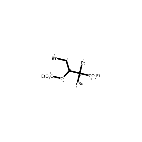 CCCCC(CC)(C(=O)OCC)C(CC(C)C)OC(=O)OCC